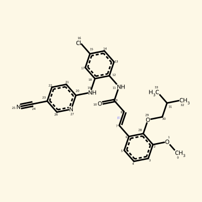 COc1cccc(/C=C/C(=O)Nc2ccc(Cl)cc2Nc2ccc(C#N)cn2)c1OCC(C)C